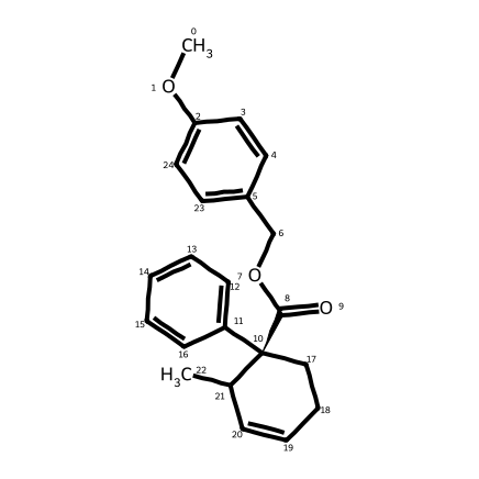 COc1ccc(COC(=O)[C@@]2(c3ccccc3)CCC=CC2C)cc1